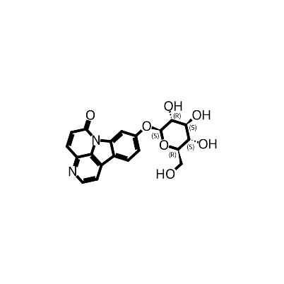 O=c1ccc2nccc3c4ccc(O[C@@H]5O[C@H](CO)[C@@H](O)[C@H](O)[C@H]5O)cc4n1c23